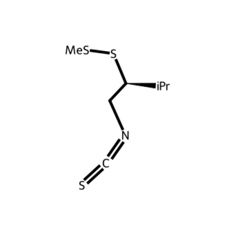 CSS[C@H](CN=C=S)C(C)C